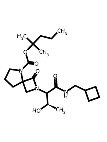 CCCC(C)(C)OC(=O)N1CCCC12CN(C(C(=O)NCC1CCC1)[C@@H](C)O)C2=O